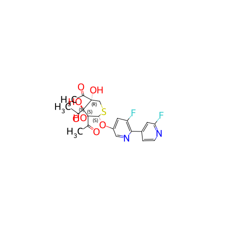 CC(=O)[C@]1(O)[C@@](O)(C(C)=O)CS[C@H](Oc2cnc(-c3ccnc(F)c3)c(F)c2)[C@@]1(O)C(C)=O